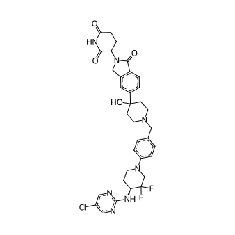 O=C1CCC(N2Cc3cc(C4(O)CCN(Cc5ccc(N6CC[C@H](Nc7ncc(Cl)cn7)C(F)(F)C6)cc5)CC4)ccc3C2=O)C(=O)N1